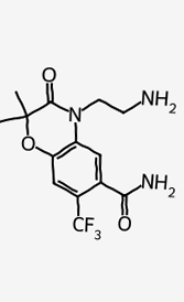 CC1(C)Oc2cc(C(F)(F)F)c(C(N)=O)cc2N(CCN)C1=O